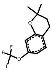 CC1(C)CCc2ccc(OC(F)(F)F)cc2O1